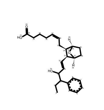 CCC(c1ccccc1)C(O)/C=C/[C@H]1[C@@H](C/C=C\CCCC(=O)O)[C@H]2CC[C@@H]1O2